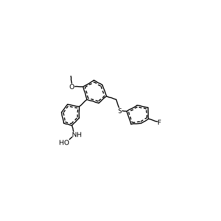 COc1ccc(CSc2ccc(F)cc2)cc1-c1cccc(NO)c1